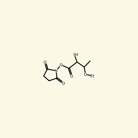 CCOC(C)C(S)C(=O)ON1C(=O)CCC1=O